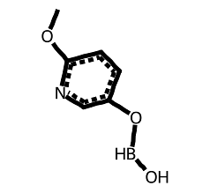 COc1ccc(OBO)cn1